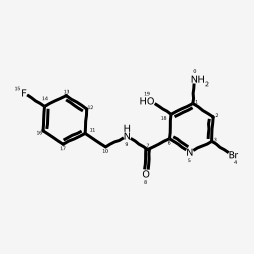 Nc1cc(Br)nc(C(=O)NCc2ccc(F)cc2)c1O